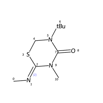 C/N=C1\SCN(C(C)(C)C)C(=O)N1C